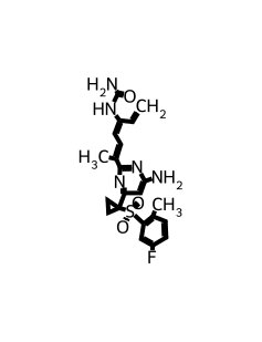 C=C/C(=C\C=C(/C)c1nc(N)cc(C2(S(=O)(=O)c3cc(F)ccc3C)CC2)n1)NC(N)=O